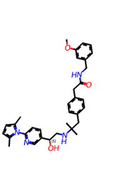 COc1cccc(CNC(=O)Cc2ccc(CC(C)(C)NC[C@@H](O)c3ccc(-n4c(C)ccc4C)nc3)cc2)c1